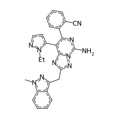 CCn1nccc1-c1c(-c2ccccc2C#N)nc(N)n2nc(Cc3nn(C)c4ccccc34)nc12